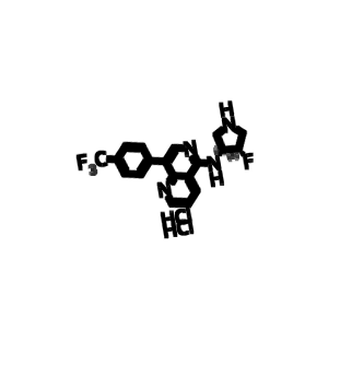 Cl.Cl.F[C@H]1CNC[C@H]1Nc1ncc(-c2ccc(C(F)(F)F)cc2)c2ncccc12